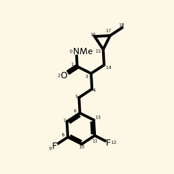 CNC(=O)C(CCc1cc(F)cc(F)c1)CC1CC1C